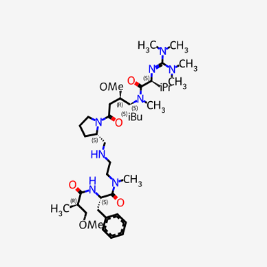 CC[C@H](C)[C@@H]([C@@H](CC(=O)N1CCC[C@H]1CNCCN(C)C(=O)[C@H](Cc1ccccc1)NC(=O)[C@H](C)COC)OC)N(C)C(=O)[C@@H](N=C(N(C)C)N(C)C)C(C)C